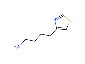 NCCCCc1cscn1